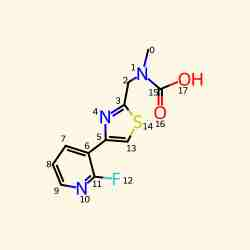 CN(Cc1nc(-c2cccnc2F)cs1)C(=O)O